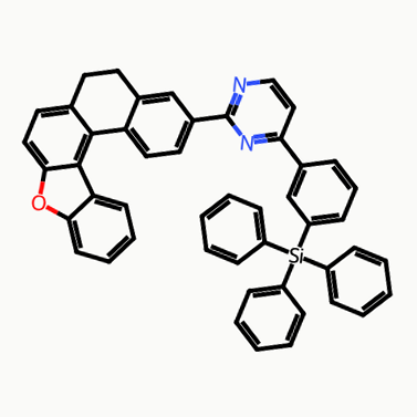 c1ccc([Si](c2ccccc2)(c2ccccc2)c2cccc(-c3ccnc(-c4ccc5c(c4)CCc4ccc6oc7ccccc7c6c4-5)n3)c2)cc1